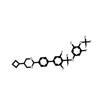 Fc1cc(OC(F)(F)c2c(F)cc(-c3ccc(C4OCC(C5CCC5)CO4)cc3)cc2F)cc(F)c1OC(F)(F)F